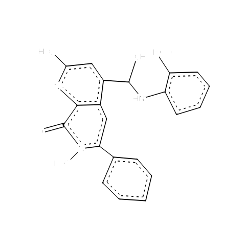 Cc1cc(C(C)Nc2ccccc2C(=O)O)c2cc(-c3ccccc3)n(C)c(=O)c2n1